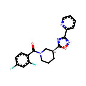 O=C(c1ccc(F)cc1F)N1CCC[C@H](c2nc(-c3ccccn3)no2)C1